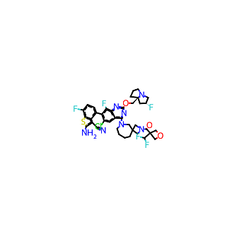 N#Cc1c(N)sc2c(F)ccc(-c3c(Cl)cc4c(N5CCCCC6(CN(C(=O)C7(C(F)F)COC7)C6)C5)nc(OC[C@@]56CCCN5C[C@H](F)C6)nc4c3F)c12